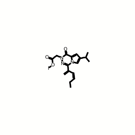 C=C(/C=C\CC)c1nn(CC(=O)OI)c(=O)c2cc(C(C)C)cn12